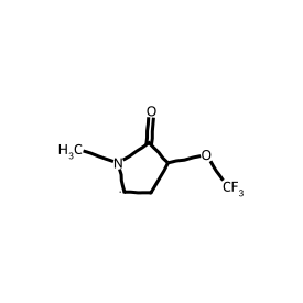 CN1[CH]CC(OC(F)(F)F)C1=O